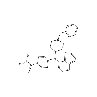 CCN(CC)C(=O)c1ccc(N(c2cccc3ccccc23)C2CCN(Cc3ccccc3)CC2)cc1